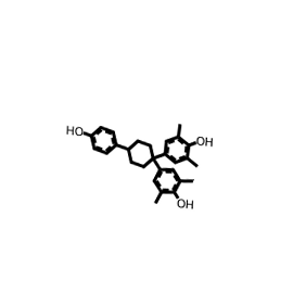 Cc1cc(C2(c3cc(C)c(O)c(C)c3)CCC(c3ccc(O)cc3)CC2)cc(C)c1O